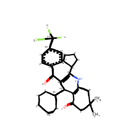 CC1(C)CC(=O)C2=C(C1)NC(C1CCCC1)=C(C(=O)c1ccc(C(F)(F)F)cc1)C2C1CCCCC1